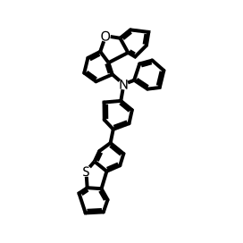 c1ccc(N(c2ccc(-c3ccc4c(c3)sc3ccccc34)cc2)c2cccc3oc4ccccc4c23)cc1